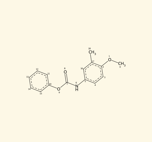 COc1ccc(NC(=O)Oc2ccccc2)cc1C